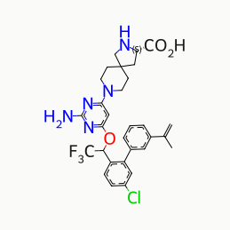 C=C(C)c1cccc(-c2cc(Cl)ccc2C(Oc2cc(N3CCC4(CC3)CN[C@H](C(=O)O)C4)nc(N)n2)C(F)(F)F)c1